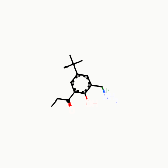 CCC(=O)c1cc(C(C)(C)C)cc(CN)c1O.Cl